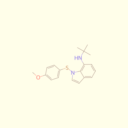 COc1ccc(Sn2ccc3cccc(NC(C)(C)C)c32)cc1